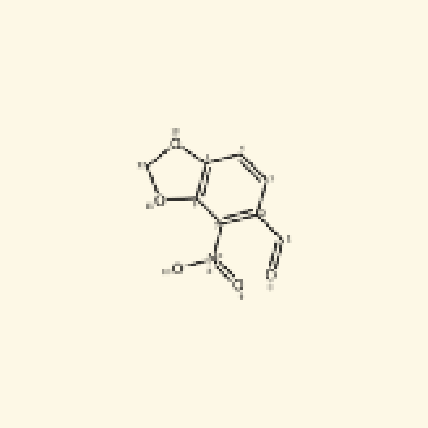 O=Cc1ccc2c(c1[N+](=O)[O-])OCO2